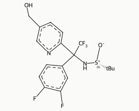 CC(C)(C)[S@@+]([O-])NC(c1ccc(F)c(F)c1)(c1ccc(CO)cn1)C(F)(F)F